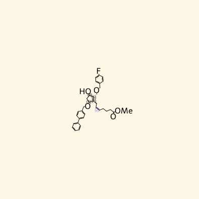 COC(=O)CCC/C=C\C[C@@H]1[C@@H](COCc2ccc(F)cc2)[C@H](O)C[C@@H]1OCc1ccc(-c2ccccc2)cc1